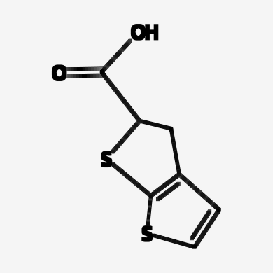 O=C(O)C1Cc2ccsc2S1